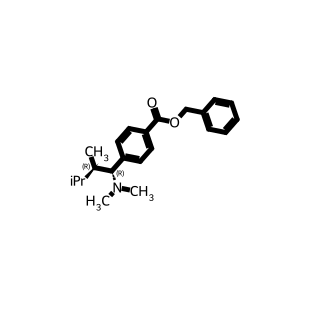 CC(C)[C@@H](C)[C@H](c1ccc(C(=O)OCc2ccccc2)cc1)N(C)C